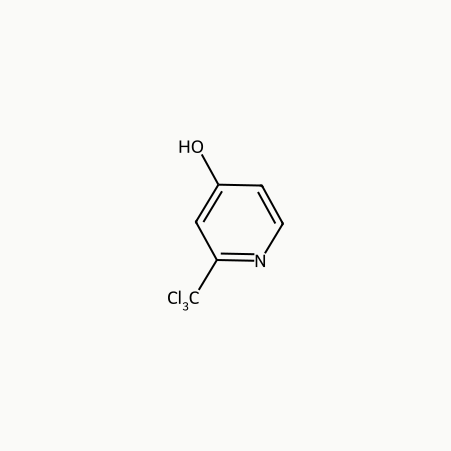 Oc1ccnc(C(Cl)(Cl)Cl)c1